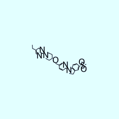 CCc1cnc(N2CCC(OCc3ccc(N4CCc5cc(S(C)(=O)=O)ccc54)nc3)CC2)nc1